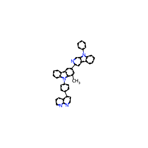 Cc1cc(-c2cc3c4ccccc4n(-c4ccccc4)c3cn2)cc2c3ccccc3n(-c3ccc(-c4ccnc5ncccc45)cc3)c12